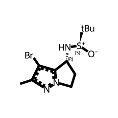 Cc1nn2c(c1Br)[C@H](N[S@+]([O-])C(C)(C)C)CC2